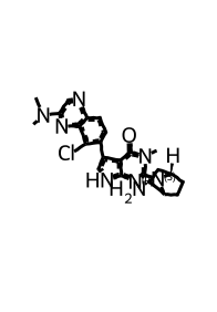 CN(C)c1cnc2ccc(-c3c[nH]c4nc(N5C6CC[C@H]5C[C@H]6N)n(C)c(=O)c34)c(Cl)c2n1